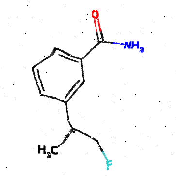 C[C](CF)c1cccc(C(N)=O)c1